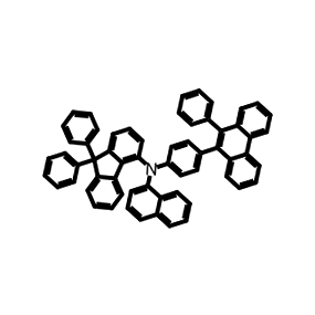 c1ccc(-c2c(-c3ccc(N(c4cccc5c4-c4ccccc4C5(c4ccccc4)c4ccccc4)c4cccc5ccccc45)cc3)c3ccccc3c3ccccc23)cc1